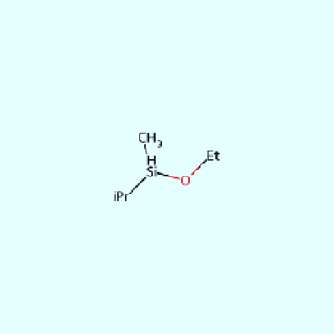 CCO[SiH](C)C(C)C